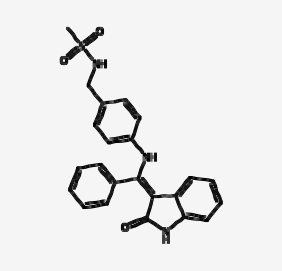 CS(=O)(=O)NCc1ccc(NC(=C2C(=O)Nc3ccccc32)c2ccccc2)cc1